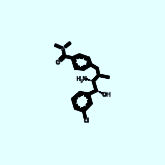 CC(Cc1ccc(C(=O)N(C)C)cc1)[C@@H](N)[C@H](O)c1cccc(Cl)c1